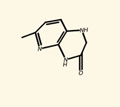 Cc1ccc2c(n1)NC(=O)CN2